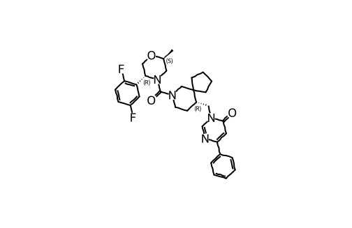 C[C@H]1CN(C(=O)N2CC[C@@H](Cn3cnc(-c4ccccc4)cc3=O)C3(CCCC3)C2)[C@H](c2cc(F)ccc2F)CO1